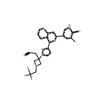 Cc1cc(-c2cc3ncccc3c(-c3ccn(C4(CC#N)CN(CC(F)(F)F)C4)n3)n2)c[nH]c1=O